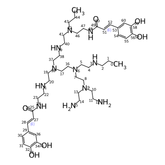 CCCNCCN(CCN(CCN)CCN)CCN(CCNCCNC(=O)/C=C/c1ccc(O)c(O)c1)CCNCCN(CCC)CCNC(=O)/C=C/c1ccc(O)c(O)c1